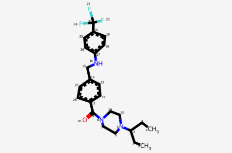 CCC(CC)N1CCN(C(=O)c2ccc(CNc3ccc(C(F)(F)F)cc3)cc2)CC1